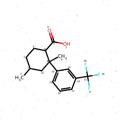 CC1CCC(C(=O)O)C(C)(c2cccc(C(F)(F)F)c2)C1